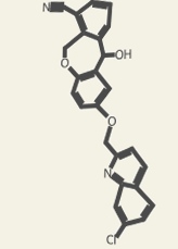 N#Cc1cccc2c1COc1ccc(OCc3ccc4ccc(Cl)cc4n3)cc1C2O